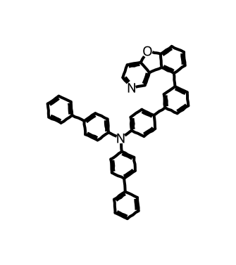 c1ccc(-c2ccc(N(c3ccc(-c4ccccc4)cc3)c3ccc(-c4cccc(-c5cccc6oc7ccncc7c56)c4)cc3)cc2)cc1